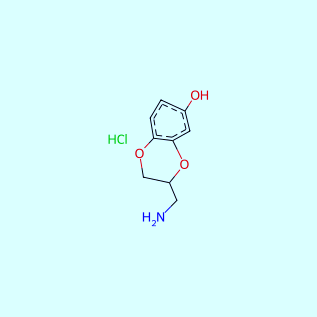 Cl.NCC1COc2ccc(O)cc2O1